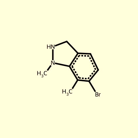 Cc1c(Br)ccc2c1N(C)NC2